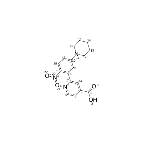 O=C(O)c1ccnc(-c2cc(N3CCCCC3)ccc2[N+](=O)[O-])c1